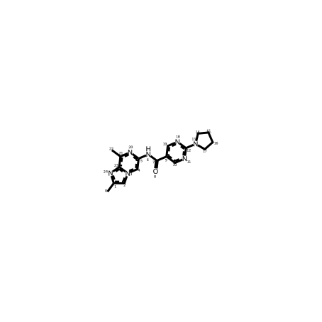 Cc1cn2cc(NC(=O)c3cnc(N4C[CH]CC4)nc3)nc(C)c2n1